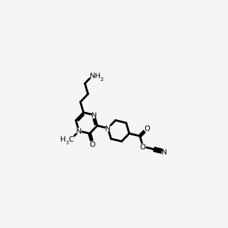 Cn1cc(CCCN)nc(N2CCC(C(=O)OC#N)CC2)c1=O